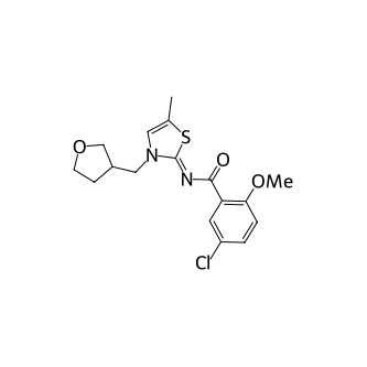 COc1ccc(Cl)cc1C(=O)/N=c1\sc(C)cn1CC1CCOC1